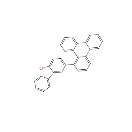 c1ccc2c(c1)oc1ccc(-c3cccc4c5ccccc5c5ccccc5c34)cc12